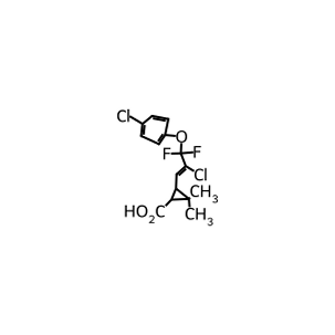 CC1(C)C(C=C(Cl)C(F)(F)Oc2ccc(Cl)cc2)C1C(=O)O